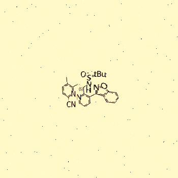 Cc1ccc(C#N)nc1C[C@H](N[S+]([O-])C(C)(C)C)c1ncccc1-c1noc2ccccc12